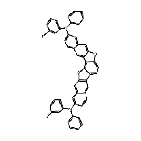 Fc1cccc(N(c2ccccc2)c2ccc3cc4c(cc3c2)oc2c4ccc3oc4cc5cc(N(c6ccccc6)c6cccc(F)c6)ccc5cc4c32)c1